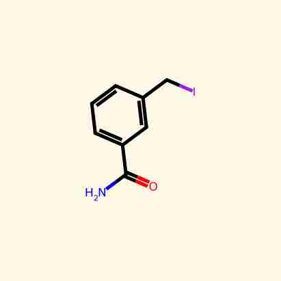 NC(=O)c1cccc(CI)c1